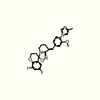 COc1cc(/C=C2\CCCN3C2=NOC32CCOc3c(F)cc(F)cc32)ccc1-n1cnc(C)c1